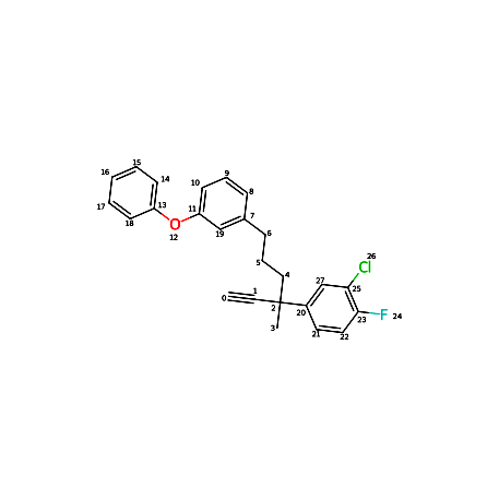 C#CC(C)(CCCc1cccc(Oc2ccccc2)c1)c1ccc(F)c(Cl)c1